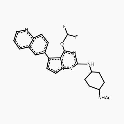 CC(=O)NC1CCC(Nc2nc(OC(F)F)c3c(-c4ccc5ncccc5c4)ccn3n2)CC1